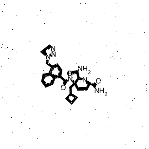 NC(=O)C1=NC(C(N)=O)C(CC2CCC2)(NC(=O)c2ccc(Cn3ccnn3)c3ccccc23)C=C1